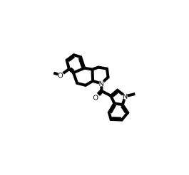 COc1cccc2c1CCC1C2CCCN1C(=O)c1cn(C)c2ccccc12